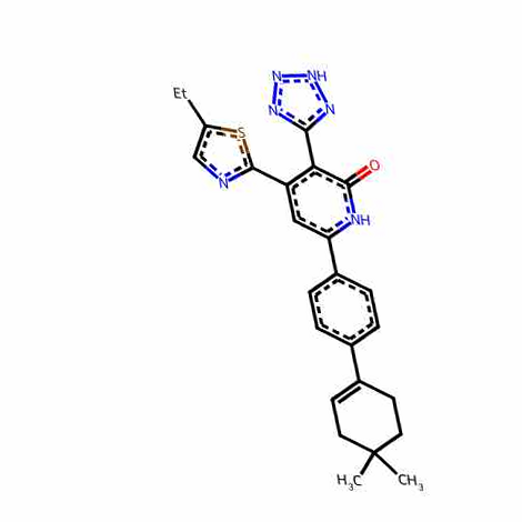 CCc1cnc(-c2cc(-c3ccc(C4=CCC(C)(C)CC4)cc3)[nH]c(=O)c2-c2nn[nH]n2)s1